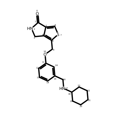 O=C1NCc2c1csc2COc1cccc(CNC2CCCCC2)c1